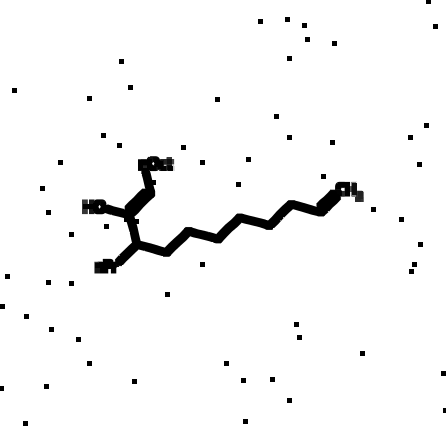 C=CCCCCCCC(CCC)C(O)=CCCCCCCCC